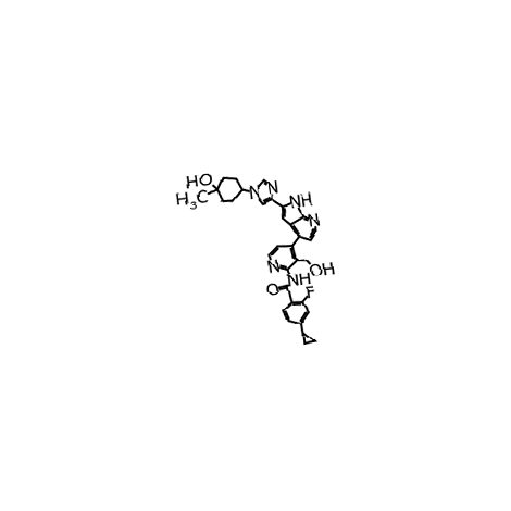 CC1(O)CCC(n2cnc(-c3cc4c(-c5ccnc(NC(=O)c6ccc(C7CC7)cc6F)c5CO)ccnc4[nH]3)c2)CC1